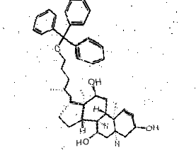 C[C@H](CCCOC(c1ccccc1)(c1ccccc1)c1ccccc1)[C@H]1CC[C@H]2[C@@H]3[C@H](O)C[C@@H]4C[C@H](O)CC[C@]4(C)[C@H]3C[C@H](O)[C@]12C